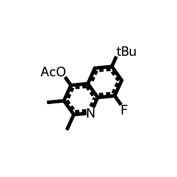 CC(=O)Oc1c(C)c(C)nc2c(F)cc(C(C)(C)C)cc12